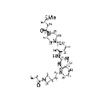 C=CC(=O)N1CC(CCN2CC=Cc3cnc(Nc4cccc(N5CCN(C(=O)CCSC)CC5)c4)nc32)C1